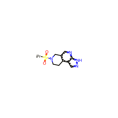 CC(C)S(=O)(=O)N1CCc2c(cnc3[nH]ncc23)C1